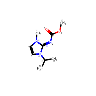 COC(=O)/N=c1\n(C)ccn1C(C)C